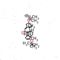 CC(C)(C)[Si](C)(C)OC1CC[C@@]2(C)C(=CC(=O)[C@@H]3[C@H]2CC[C@]2(C)C(O[Si](C)(C)C)=CC[C@@H]32)C1